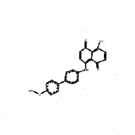 CCCOc1ccc(-c2ccc(NC3=C4C(=O)C=CC(N)=C4C(=O)C=C3)cc2)cc1